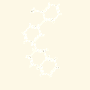 CC(C)c1ccccc1-c1cccc(-c2ncc3ccccc3n2)n1